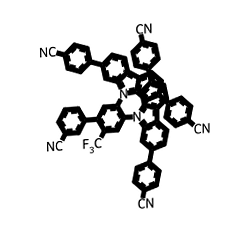 N#Cc1ccc(-c2ccc3c4ccc(-c5ccc(C#N)cc5)cc4n(-c4cc(-c5cccc(C#N)c5)c(C(F)(F)F)cc4-n4c5cc(-c6ccc(C#N)cc6)ccc5c5ccc(-c6ccc(C#N)cc6)cc54)c3c2)cc1